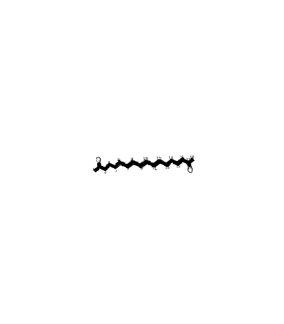 CC(=O)CCCCCCCCCCCCCCC(C)=O